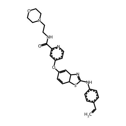 C=Cc1ccc(NC2=NC3C=C(Oc4ccnc(C(=O)NCCN5CCOCC5)c4)C=CC3S2)cc1